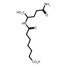 NC(=O)CCC(NC(=O)CCCCCC(=O)O)C(=O)O